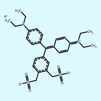 CCN(CC)c1ccc(C(=C2C=CC(=[N+](CC)CC)C=C2)c2ccc(CS(=O)(=O)[O-])c(CS(=O)(=O)[O-])c2)cc1.[K+]